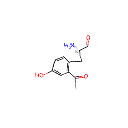 CC(=O)c1cc(O)ccc1C[C@H](N)[C]=O